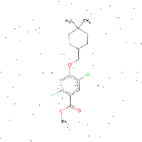 CC1(C)CCC(COc2cc(F)c(C(=O)OC(C)(C)C)cc2Cl)CC1